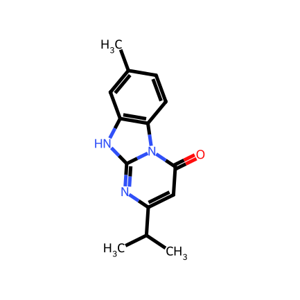 Cc1ccc2c(c1)[nH]c1nc(C(C)C)cc(=O)n12